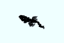 Cc1cc(CCOCN)cc(C)c1/C=C/S(=O)(=O)N1CCC2(CC1)OCCO2